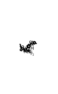 CC=CC(=O)N1CCCC1c1nc(-c2ccc(C(=O)Nc3cc(C)ccn3)cc2)c(C(N)=O)n1N